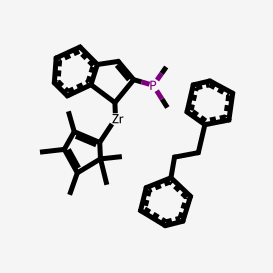 CC1=C(C)C(C)(C)[C]([Zr][CH]2C(P(C)C)=Cc3ccccc32)=C1C.c1ccc(CCc2ccccc2)cc1